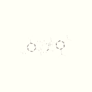 COc1cc(OC)c(OS(=O)(=O)NC(=O)Cc2c(C(C)C)cc(C(C)C)cc2C(C)C)c(OC)c1